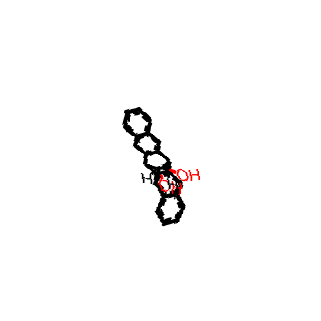 O[C@@H]1C2c3cc4ccccc4cc3C(c3cc4ccccc4cc32)[C@@H]1O